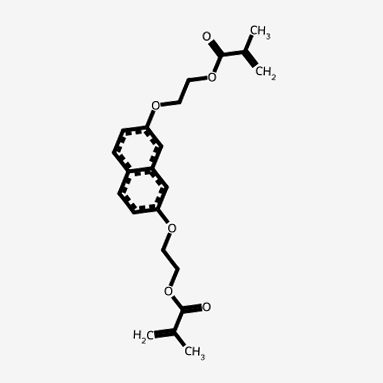 C=C(C)C(=O)OCCOc1ccc2ccc(OCCOC(=O)C(=C)C)cc2c1